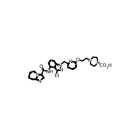 CCc1nn(Cc2cccc(OCCN3CCN(C(=O)O)CC3)n2)c2cccc(NC(=O)c3cnc4ccccn34)c12